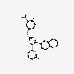 Cc1cccc(-c2[nH]c(Cc3ccc(F)c(C(=O)O)c3)nc2-c2ccc3ncccc3c2)n1